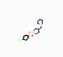 CC1CCN(CC2CCN(S(=O)(=O)c3ccc(Br)cc3)CC2)CC1